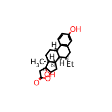 CC[C@H]1Cc2cc(O)ccc2[C@H]2CC[C@@]3(C)[C@@H](CC4OC(=O)C[C@@]43O)[C@H]12